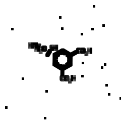 CS.O.O=C(O)c1cccc(C(=O)O)c1.[NaH]